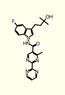 Cc1nc(-c2ncccn2)ncc1C(=O)Nn1cc(CCC(C)(C)O)c2cc(F)ccc21